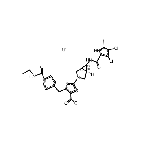 CCNC(=O)c1ccc(Cc2nc(N3C[C@@H]4[C@H](C3)[C@@H]4NC(=O)c3[nH]c(C)c(Cl)c3Cl)sc2C(=O)[O-])cc1.[Li+]